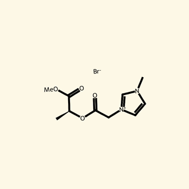 COC(=O)[C@H](C)OC(=O)C[n+]1ccn(C)c1.[Br-]